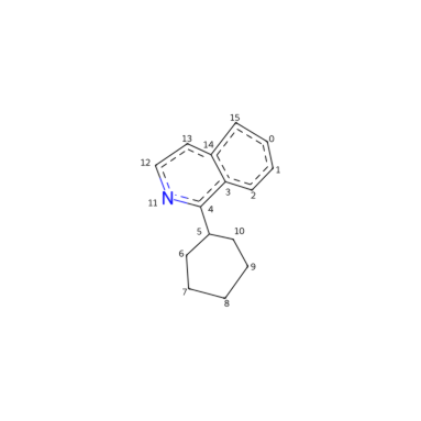 c1ccc2c(C3CCCCC3)nccc2c1